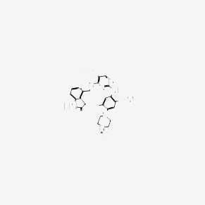 CCc1cc(Nc2ncc(C(F)(F)F)c(NCc3cccc4c3CC(=O)N4)n2)c(OC)cc1N1CCN(C(C)C)CC1